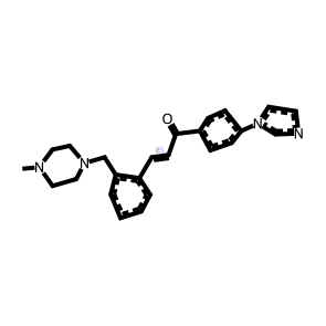 CN1CCN(Cc2ccccc2/C=C/C(=O)c2ccc(-n3ccnc3)cc2)CC1